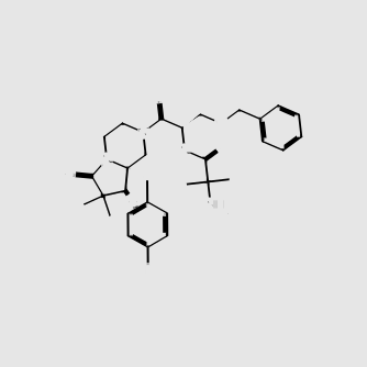 CC(C)(N)C(=O)N[C@H](COCc1ccccc1)C(=O)N1CCN2C(=O)C(C)(C)C(=O)[C@]2(Cc2ccc(F)cc2)C1